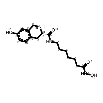 O=C(CCCCCCNC(=O)[C@@H]1Cc2ccc(O)cc2CN1)NO